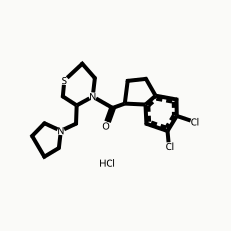 Cl.O=C(C1CCc2cc(Cl)c(Cl)cc21)N1CCSCC1CN1CCCC1